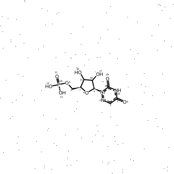 O=c1cnn([C@H]2O[C@@H](COP(=O)(O)O)C(O)C2O)c(=O)[nH]1